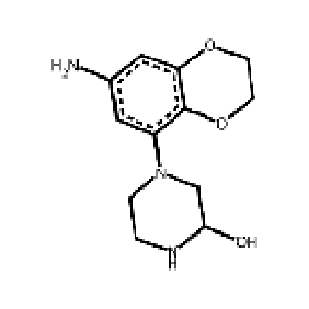 Nc1cc2c(c(N3CCNC(O)C3)c1)OCCO2